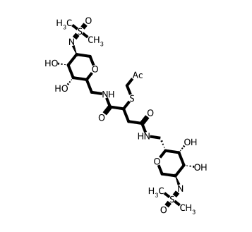 CC(=O)CSC(CC(=O)NC[C@H]1OC[C@H](N=S(C)(C)=O)[C@@H](O)[C@H]1O)C(=O)NCC1OC[C@H](N=S(C)(C)=O)[C@@H](O)[C@H]1O